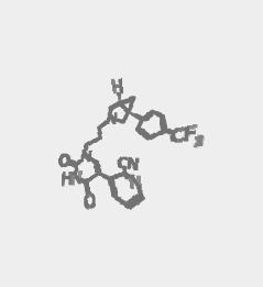 N#Cc1ncccc1-c1cn(CCCN2C[C@@H]3C[C@]3(c3ccc(C(F)(F)F)cc3)C2)c(=O)[nH]c1=O